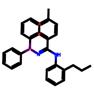 CCCc1ccccc1NC(=NP(c1ccccc1)c1ccccc1)c1ccc(C)cc1